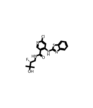 CC(C)(O)[C@H](F)CNC(=O)c1cnc(Cl)cc1Nc1nc2ccccc2s1